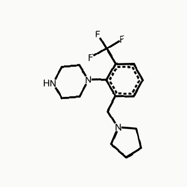 FC(F)(F)c1cccc(CN2CCCC2)c1N1CCNCC1